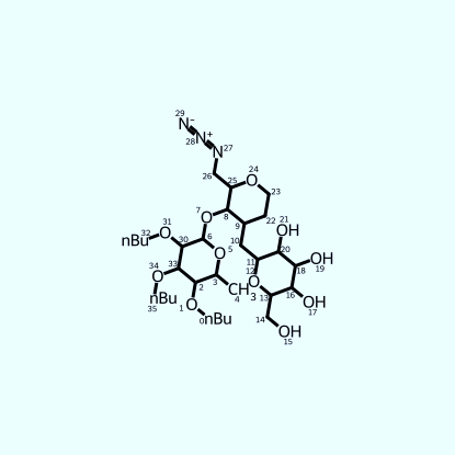 CCCCOC1C(C)OC(OC2C(CC3OC(CO)C(O)C(O)C3O)CCOC2CN=[N+]=[N-])C(OCCCC)C1OCCCC